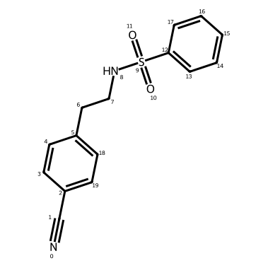 N#Cc1ccc(CCNS(=O)(=O)c2ccccc2)cc1